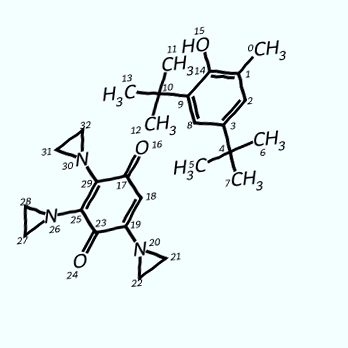 Cc1cc(C(C)(C)C)cc(C(C)(C)C)c1O.O=C1C=C(N2CC2)C(=O)C(N2CC2)=C1N1CC1